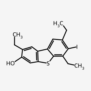 CCc1cc2c(cc1O)sc1c(CC)c(I)c(CC)cc12